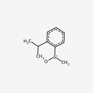 CC(C)c1ccccc1[S+](C)[O-]